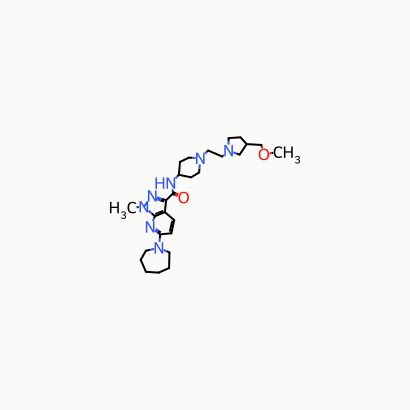 COCC1CCN(CCN2CCC(NC(=O)c3nn(C)c4nc(N5CCCCCC5)ccc34)CC2)C1